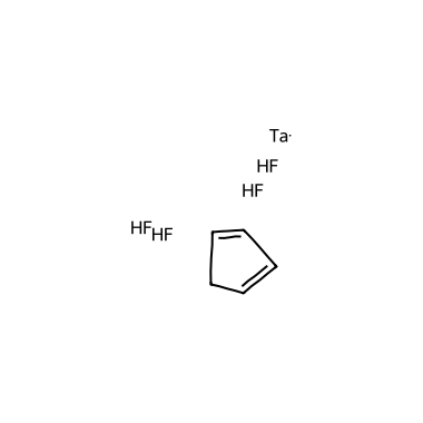 C1=CCC=C1.F.F.F.F.[Ta]